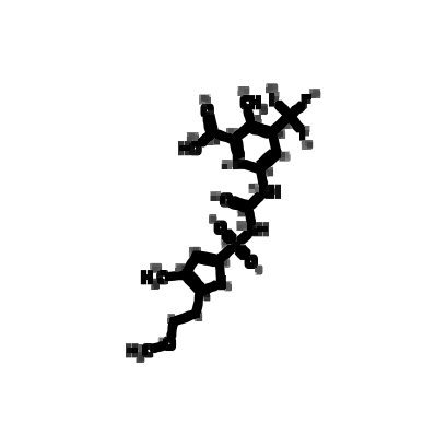 COCCc1sc(S(=O)(=O)NC(=O)Nc2cc(C(F)(F)F)c(C)c(C(=O)O)n2)cc1C